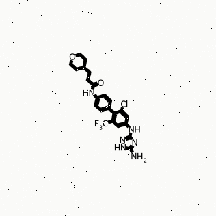 Nc1nc(Nc2cc(Cl)c(-c3ccc(NC(=O)CCC4CCOCC4)cc3)c(C(F)(F)F)c2)n[nH]1